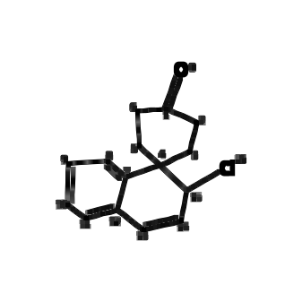 O=C1CCC2(CC1)c1ccccc1C=CC2Cl